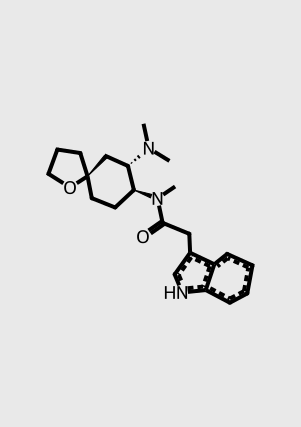 CN(C)[C@H]1C[C@@]2(CCCO2)CC[C@@H]1N(C)C(=O)Cc1c[nH]c2ccccc12